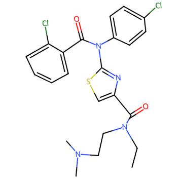 CCN(CCN(C)C)C(=O)c1csc(N(C(=O)c2ccccc2Cl)c2ccc(Cl)cc2)n1